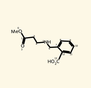 COC(=O)CCNCc1ccccc1C(=O)O